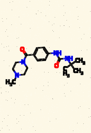 CN1CCN(C(=O)c2ccc(NC(=O)NC(C)(C)C)cc2)CC1